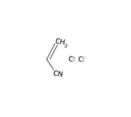 C=CC#N.[C].[C]